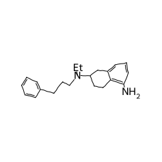 CCN(CCCc1ccccc1)C1CCc2c(N)cccc2C1